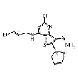 CC/C=C/CNc1cc(Cl)nc2c(Br)c([C@@H]3CC=CC[C@H]3N)sc12